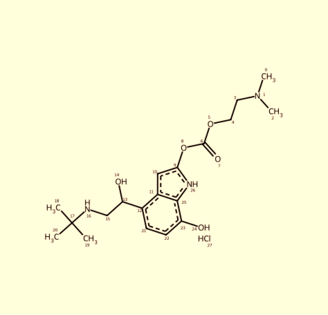 CN(C)CCOC(=O)Oc1cc2c(C(O)CNC(C)(C)C)ccc(O)c2[nH]1.Cl